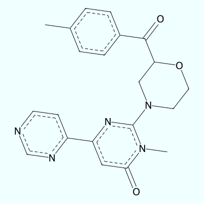 Cc1ccc(C(=O)C2CN(c3nc(-c4ccncn4)cc(=O)n3C)CCO2)cc1